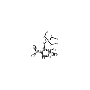 CC[N+](CC)(CC)Cc1c([N+](=O)[O-])ncn1C.[Br-]